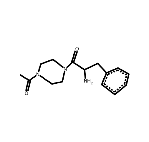 CC(=O)N1CCN(C(=O)C(N)Cc2ccccc2)CC1